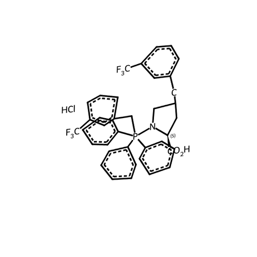 Cl.O=C(O)[C@@H]1CC(Cc2cccc(C(F)(F)F)c2)CN1P(Cc1cccc(C(F)(F)F)c1)(c1ccccc1)(c1ccccc1)c1ccccc1